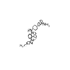 Cc1ccc(N2CCOc3c(C(=O)NC4CCC(OCC(N)=O)CC4)cccc32)nc1